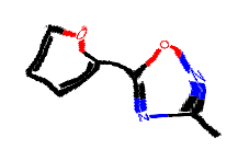 Cc1noc(-c2cc[c]o2)n1